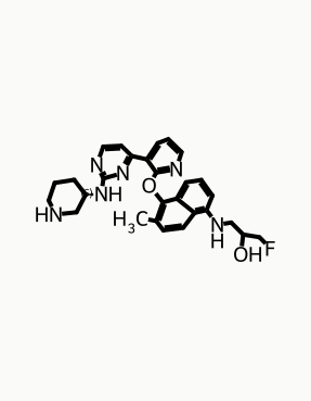 Cc1ccc2c(NCC(O)CF)cccc2c1Oc1ncccc1-c1ccnc(N[C@H]2CCCNC2)n1